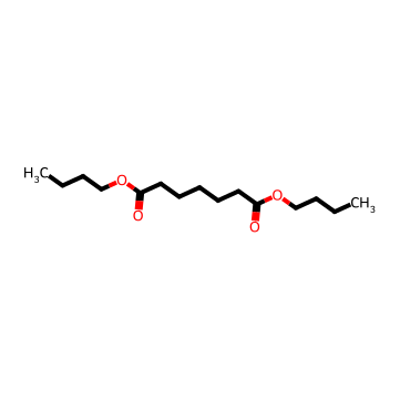 CCCCOC(=O)CCCCCC(=O)OCCCC